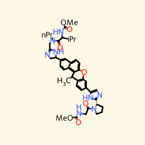 CCCN(CC1=NCC(c2ccc3c4c(ccc3c2)Oc2cc(-c3cnc([C@@H]5CCCN5C(=O)CNC(=O)OC)[nH]3)ccc2C4C)N1)C(=O)C(NC(=O)OC)C(C)C